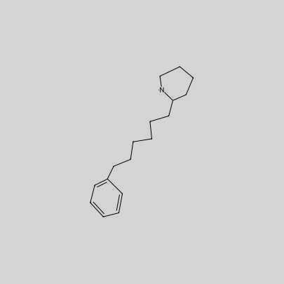 c1ccc(CCCCCCC2CCCC[N]2)cc1